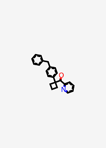 O=C(c1ccccn1)C1(c2ccc(Cc3ccccc3)cc2)CCC1